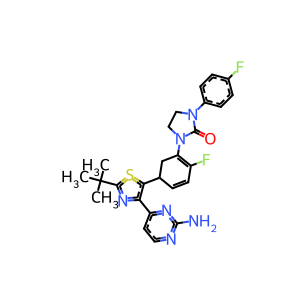 CC(C)(C)c1nc(-c2ccnc(N)n2)c(C2C=CC(F)=C(N3CCN(c4ccc(F)cc4)C3=O)C2)s1